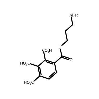 CCCCCCCCCCCCCOC(=O)c1ccc(C(=O)O)c(C(=O)O)c1C(=O)O